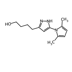 Cc1ccc(C)n1-c1cc(CCCCO)n[nH]1